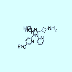 CCOc1ccc(-c2nnc(C3CC(N)C3)n2-c2ccccn2)nc1.Cl.Cl